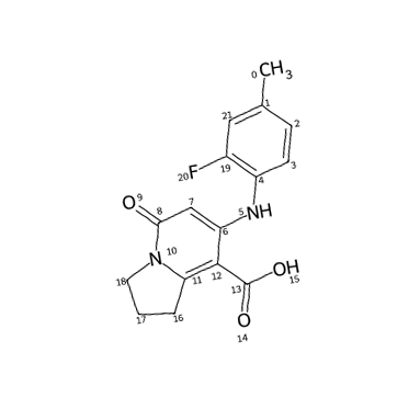 Cc1ccc(Nc2cc(=O)n3c(c2C(=O)O)CCC3)c(F)c1